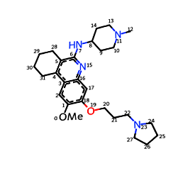 COc1cc2c3c(c(NC4CCN(C)CC4)nc2cc1OCCCN1CCCC1)CCCC3